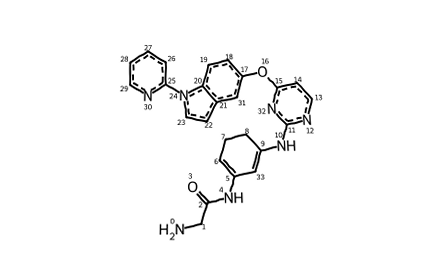 NCC(=O)NC1=CCCC(Nc2nccc(Oc3ccc4c(ccn4-c4ccccn4)c3)n2)=C1